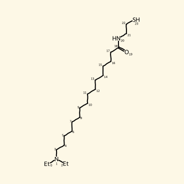 CCN(CC)CCCCCCCCCCCCCCCC(=O)NCCS